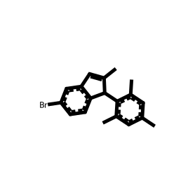 CC1=Cc2cc(Br)ccc2C1c1c(C)cc(C)cc1C